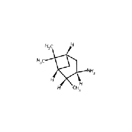 C[C@@H]1[C@H]2C[C@@H](C[C@@H]1N)C2(C)C